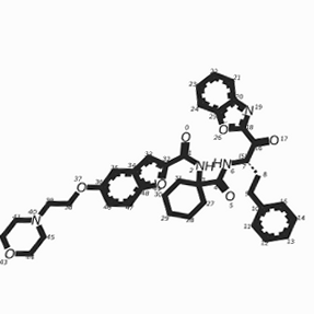 O=C(NC1(C(=O)N[C@@H](CCc2ccccc2)C(=O)c2nc3ccccc3o2)CCCCC1)c1cc2cc(OCCN3CCOCC3)ccc2o1